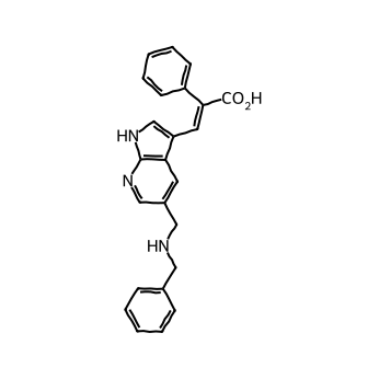 O=C(O)C(=Cc1c[nH]c2ncc(CNCc3ccccc3)cc12)c1ccccc1